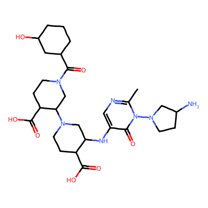 Cc1ncc(NC2CN(C3CN(C(=O)C4CCCC(O)C4)CCC3C(=O)O)CCC2C(=O)O)c(=O)n1N1CCC(N)C1